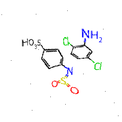 Nc1cc(Cl)ccc1Cl.O=S(=O)=Nc1ccc(S(=O)(=O)O)cc1